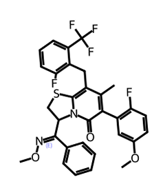 CO/N=C(\c1ccccc1)C1CSc2c(Cc3c(F)cccc3C(F)(F)F)c(C)c(-c3cc(OC)ccc3F)c(=O)n21